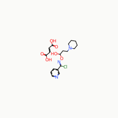 O=C(O)C=CC(=O)O.OC(CCN1CCCCC1)ON=C(Cl)c1cccnc1